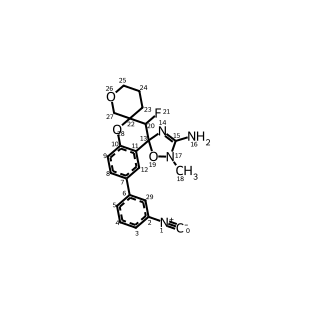 [C-]#[N+]c1cccc(-c2ccc3c(c2)C2(N=C(N)N(C)O2)C(F)C2(CCCOC2)O3)c1